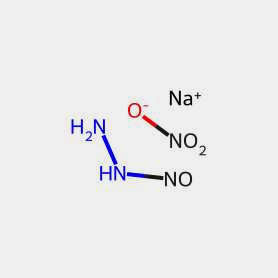 NNN=O.O=[N+]([O-])[O-].[Na+]